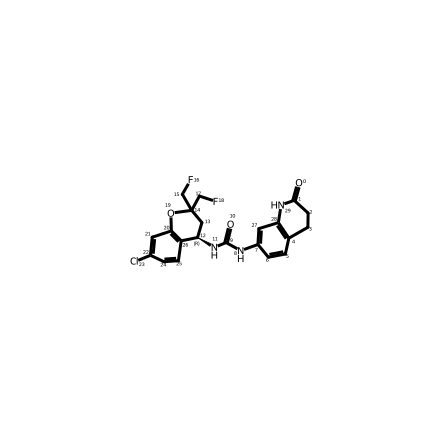 O=C1CCc2ccc(NC(=O)N[C@@H]3CC(CF)(CF)Oc4cc(Cl)ccc43)cc2N1